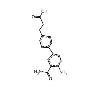 NC(=O)c1cc(-c2ccc(CCC(=O)O)cc2)cnc1N